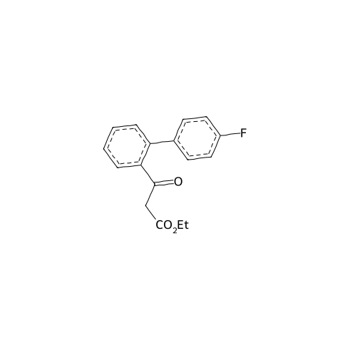 CCOC(=O)CC(=O)c1ccccc1-c1ccc(F)cc1